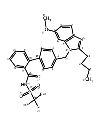 CCCCc1nc2ccc(OC)cc2n1Cc1ccc(-c2ccccc2C(=O)NS(=O)(=O)C(F)(F)F)cc1